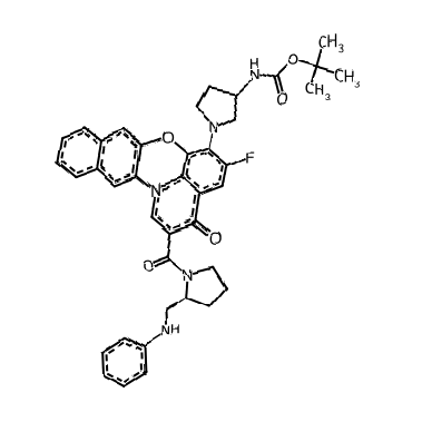 CC(C)(C)OC(=O)NC1CCN(c2c(F)cc3c(=O)c(C(=O)N4CCC[C@H]4CNc4ccccc4)cn4c3c2Oc2cc3ccccc3cc2-4)C1